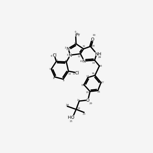 CC(C)c1nn(-c2c(Cl)cccc2Cl)c2nc(Cc3ccc(OCC(C)(C)O)cc3)[nH]c(=O)c12